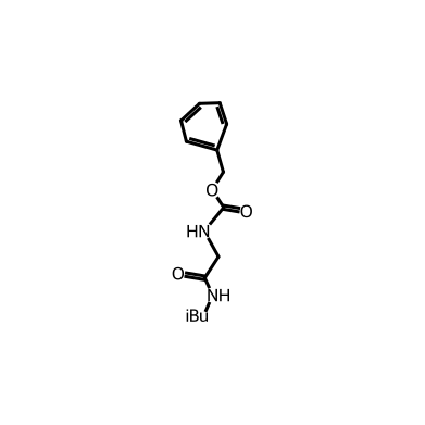 CCC(C)NC(=O)CNC(=O)OCc1ccccc1